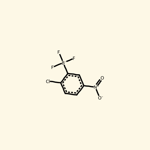 O=[N+]([O-])c1ccc(Cl)c([B-](F)(F)F)c1